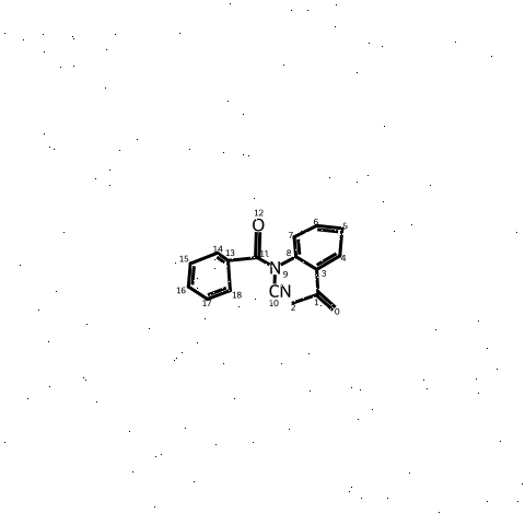 C=C(C)c1ccccc1N(C#N)C(=O)c1ccccc1